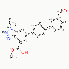 COC(O)c1cc(-c2ccc(-c3cccc(C=O)c3)cc2)cc2c1nnn2C